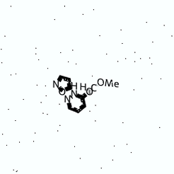 COC.O=c1cccn[nH]1.c1cnoc1